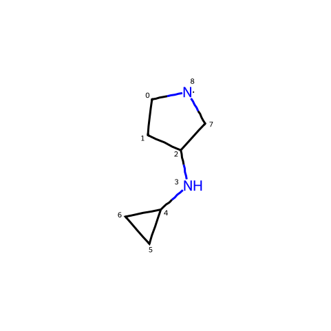 C1CC(NC2CC2)C[N]1